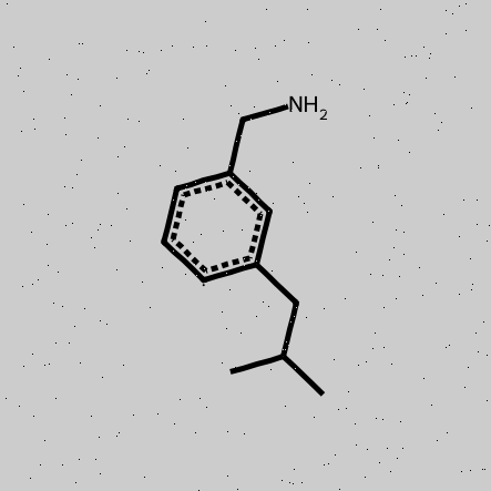 CC(C)Cc1[c]ccc(CN)c1